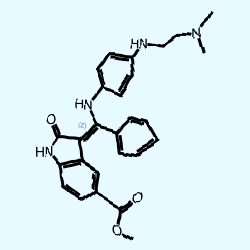 COC(=O)c1ccc2c(c1)/C(=C(/Nc1ccc(NCCN(C)C)cc1)c1ccccc1)C(=O)N2